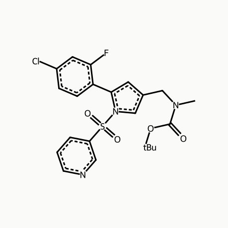 CN(Cc1cc(-c2ccc(Cl)cc2F)n(S(=O)(=O)c2cccnc2)c1)C(=O)OC(C)(C)C